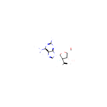 C=C(C)[C@@]1(F)[C@H](O)[C@@H](CO)O[C@H]1n1cnc2c(N(C)C)nc(N)nc21